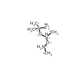 C[SiH2]O[SiH](C)O[Si](C)(C)C